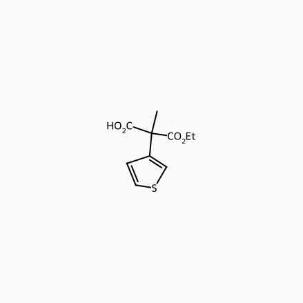 CCOC(=O)C(C)(C(=O)O)c1ccsc1